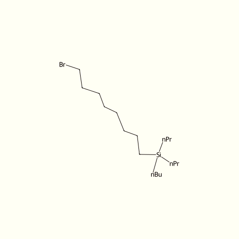 CCCC[Si](CCC)(CCC)CCCCCCCCBr